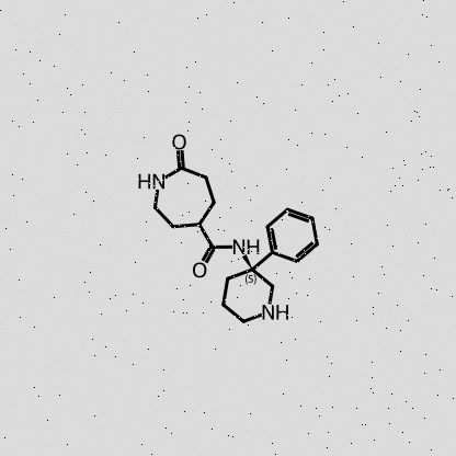 O=C1CCC(C(=O)N[C@]2(c3ccccc3)CCCNC2)CCN1